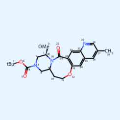 CO[C@@H]1CN(C(=O)OC(C)(C)C)CC2CCOc3cc4cc(C)cnc4cc3C(=O)N21